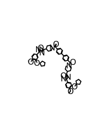 COc1ccc(-c2noc(C3CCN(C(=O)c4ccc(-c5ccc(C(=O)N6CCC(c7nc(-c8ccc(OC)c(OC9CCCC9)c8)no7)CC6)cc5)cc4)CC3)n2)cc1OC1CCCC1